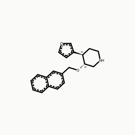 c1ccc2cc(CO[C@H]3CNCC[C@@H]3c3ccoc3)ccc2c1